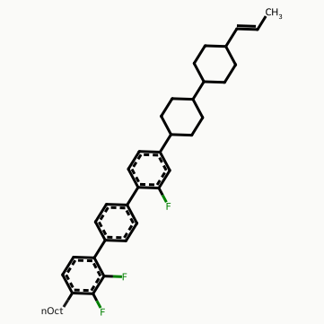 C/C=C/C1CCC(C2CCC(c3ccc(-c4ccc(-c5ccc(CCCCCCCC)c(F)c5F)cc4)c(F)c3)CC2)CC1